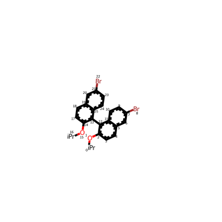 CC(C)Oc1ccc2cc(Br)ccc2c1-c1c(OC(C)C)ccc2cc(Br)ccc12